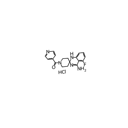 Cl.NC1=NC2(CCN(C(=O)c3ccncc3)CC2)Nc2cccc(F)c21